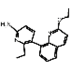 CCOc1ccc2cccc(-c3ccc(N)nc3CC)c2n1